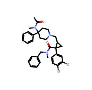 CC(=O)N(C)C1(c2ccccc2)CCN(CC2CC2(C(=O)N(C)Cc2ccccc2)c2ccc(Cl)c(Cl)c2)CC1